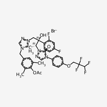 CC(=O)Oc1c(C)cc(C[n+]2cnn(C[C@](O)(c3ccc(F)cc3F)[C@@H](C)n3ncn(-c4ccc(OCC(F)(F)C(F)F)cc4)c3=O)c2)cc1C.[Br-]